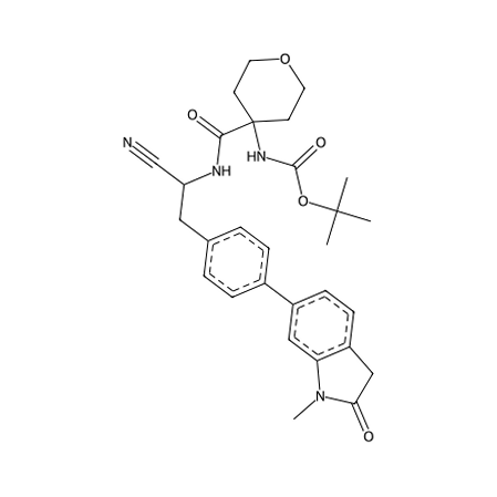 CN1C(=O)Cc2ccc(-c3ccc(CC(C#N)NC(=O)C4(NC(=O)OC(C)(C)C)CCOCC4)cc3)cc21